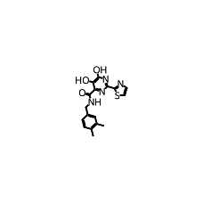 Cc1ccc(CNC(=O)c2nc(-c3nccs3)nc(O)c2O)cc1C